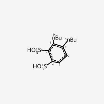 CCCCc1ccc(S(=O)(=O)O)c(S(=O)(=O)O)c1CCCC